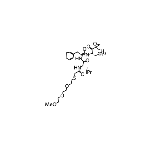 COCCOCCOCCSCC(=O)N[C@@H](CC(C)C)C(=O)N[C@@H](CC1=CCCC=C1)C(=O)N[C@@H](CC(C)C)C(=O)[C@@]1(C)CO1